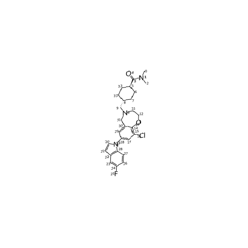 CN(C)C(=O)[C@H]1CC[C@H](CN2CCOc3c(Cl)cc(-n4ccc5cc(F)ccc54)cc3C2)CC1